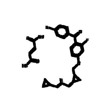 O=C(O)/C=C/C(=O)O.O=C(c1ccc(Br)cc1)c1ccc(OCC2CC2CNCC2CC2)cc1F